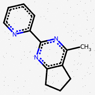 Cc1nc(-c2ccccn2)nc2c1CCC2